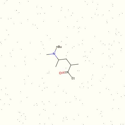 CCCCN(C)C(C)CC(C)C(=O)CC